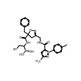 Cc1cc(C(=O)NCC2=NOC(Cc3ccccc3)(C(=O)NC(CC(C)C)B(O)O)C2)n(-c2ccc(F)cc2)n1